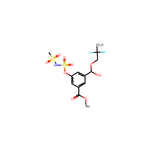 CC(C)(C)OC(=O)c1cc(OS(=O)(=O)NS(C)(=O)=O)cc(C(O)OCC(F)(F)S(=O)(=O)O)c1